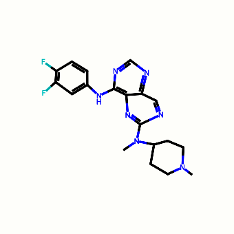 CN1CCC(N(C)c2ncc3ncnc(Nc4ccc(F)c(F)c4)c3n2)CC1